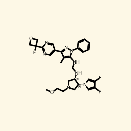 COCCN1C[C@@H](n2cc(F)c(F)c2)[C@H](NCNc2c(C)c(-c3cnc(C4(F)COC4)nc3)nn2-c2ccccc2)C1